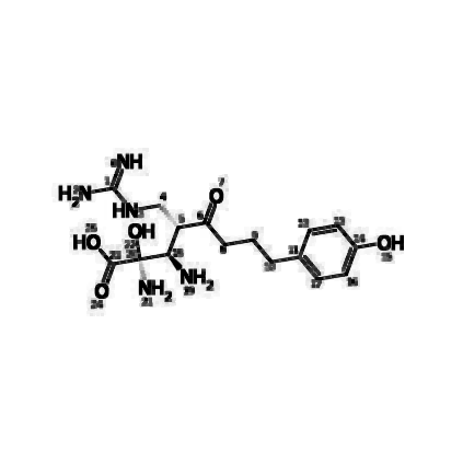 N=C(N)NC[C@H](C(=O)CCCc1ccc(O)cc1)[C@@H](N)[C@](N)(O)C(=O)O